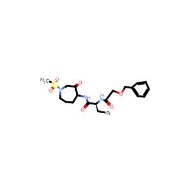 CC(C)C[C@H](NC(=O)COCc1ccccc1)C(=O)NC1CCCN(S(C)(=O)=O)CC1=O